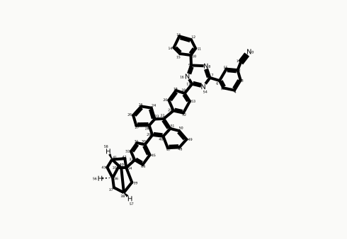 N#Cc1cccc(-c2nc(-c3ccccc3)nc(-c3ccc(-c4c5ccccc5c(-c5ccc(C67C[C@H]8C[C@@H](C6)C[C@@H](C7)C8)cc5)c5ccccc45)cc3)n2)c1